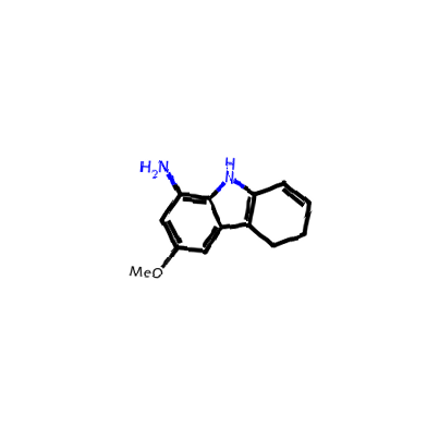 COc1cc(N)c2[nH]c3c(c2c1)CCC=C3